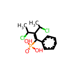 CC(Cl)C(=C(c1ccccc1)P(=O)(O)O)C(C)Cl